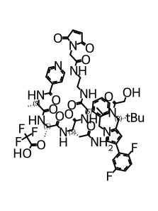 C[C@H](NC(=O)c1ccncc1)C(=O)N[C@@H](C)C(=O)N[C@@H](CC(N)=O)C(=O)N[C@@H](CCN(C(=O)CO)[C@@H](c1cc(-c2cc(F)ccc2F)cn1Cc1ccccc1)C(C)(C)C)C(=O)NCCNC(=O)CN1C(=O)C=CC1=O.O=C(O)C(F)(F)F